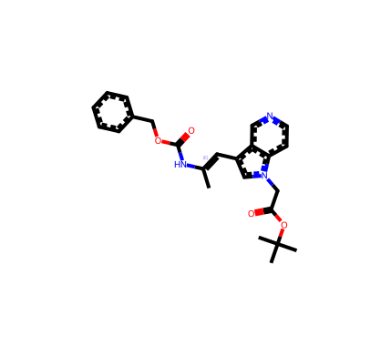 C/C(=C\c1cn(CC(=O)OC(C)(C)C)c2ccncc12)NC(=O)OCc1ccccc1